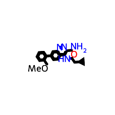 COCc1ccccc1-c1ccc2c(NCCC3CC3)c(C(N)=O)nnc2c1